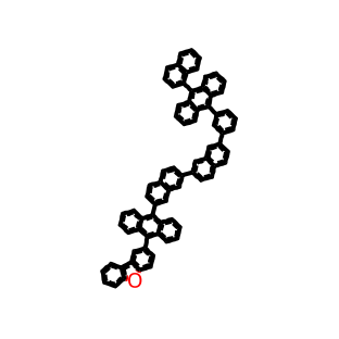 c1cc(-c2ccc3ccc(-c4ccc5ccc(-c6c7ccccc7c(-c7ccc8oc9ccccc9c8c7)c7ccccc67)cc5c4)cc3c2)cc(-c2c3ccccc3c(-c3cccc4ccccc34)c3ccccc23)c1